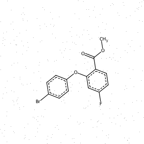 COC(=O)c1ccc(F)cc1Oc1ccc(Br)cc1